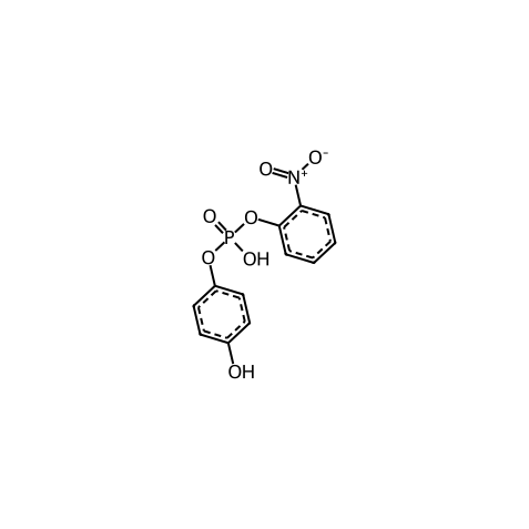 O=[N+]([O-])c1ccccc1OP(=O)(O)Oc1ccc(O)cc1